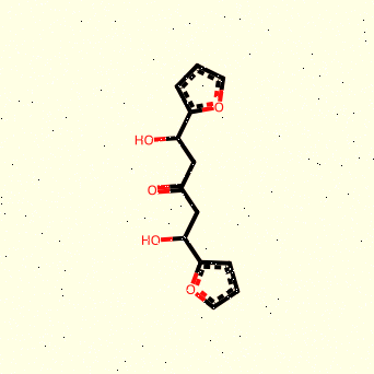 O=C(CC(O)c1ccco1)CC(O)c1ccco1